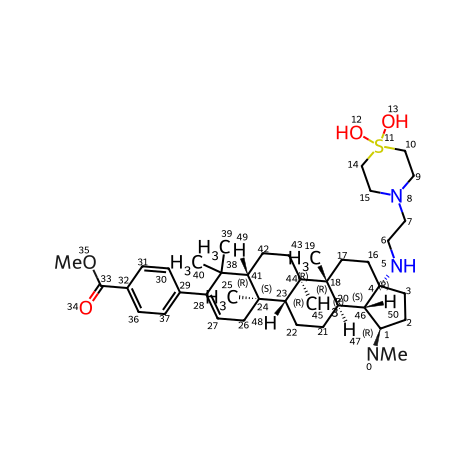 CN[C@@H]1CC[C@]2(NCCN3CCS(O)(O)CC3)CC[C@]3(C)[C@H](CC[C@@H]4[C@@]5(C)CC=C(c6ccc(C(=O)OC)cc6)C(C)(C)[C@@H]5CC[C@]43C)[C@@H]12